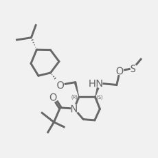 CSOCN[C@H]1CCCN(C(=O)C(C)(C)C)[C@H]1CO[C@H]1CC[C@@H](C(C)C)CC1